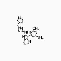 Cc1nc(N)cc(-c2c(Nc3ccn(Cc4cccnc4)n3)nc3cccnn23)n1